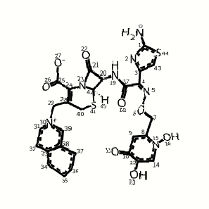 Nc1nc(/C(=N/OCc2cc(=O)c(O)cn2O)C(=O)N[C@@H]2C(=O)N3C(C(=O)[O-])=C(C[n+]4ccc5ccccc5c4)CS[C@H]23)cs1